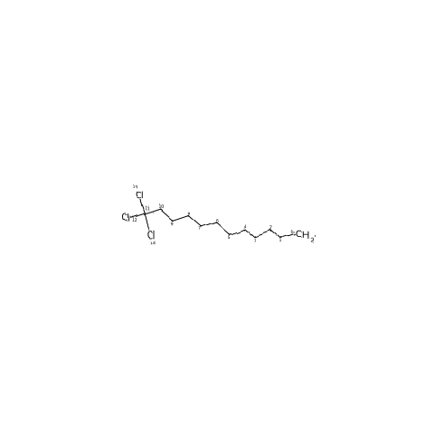 [CH2]CCCCCCCCCCC(Cl)(Cl)Cl